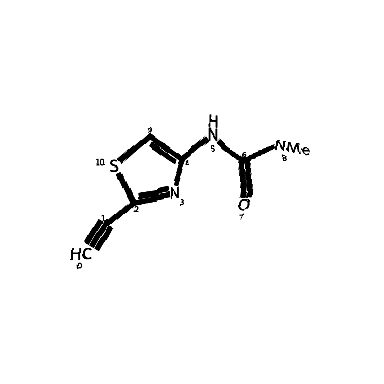 C#Cc1nc(NC(=O)NC)cs1